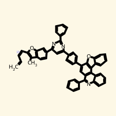 C=C/C=C\c1oc2cc(-c3cc(-c4ccc(-c5cc6c(-c7ccccc7)nc7ccccc7c6c6c5oc5ccccc56)cc4)nc(-c4ccccc4)n3)ccc2c1C